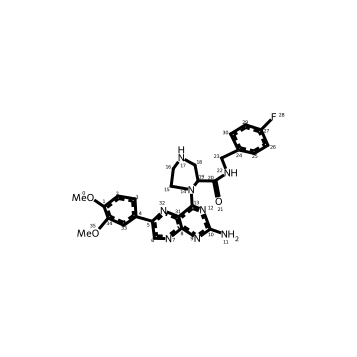 COc1ccc(-c2cnc3nc(N)nc(N4CCNCC4C(=O)NCc4ccc(F)cc4)c3n2)cc1OC